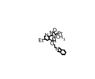 CCc1cnc(C2=NC(=O)C(C)(C(C)C)N2)c(C(=O)OCCn2cc3ccccc3c2)c1